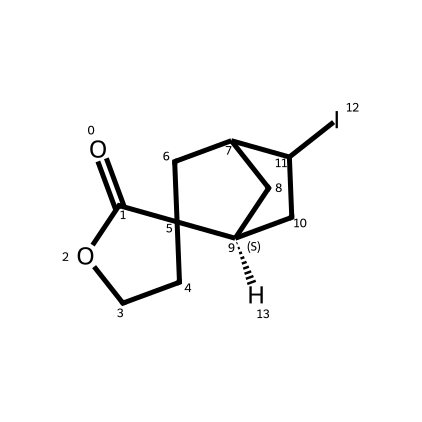 O=C1OCCC12CC1C[C@H]2CC1I